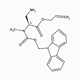 C=CCOC(=O)[C@H](CN)N(C)C(=O)OCC1c2ccccc2-c2ccccc21